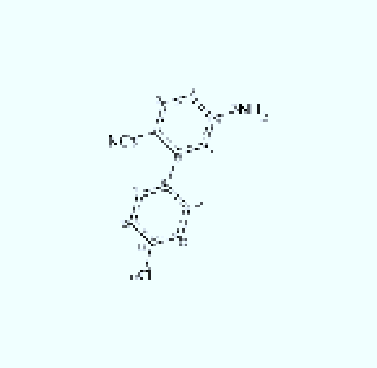 N#Cc1ccc(N)cc1-c1ccc(Cl)cc1